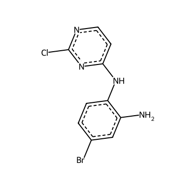 Nc1cc(Br)ccc1Nc1ccnc(Cl)n1